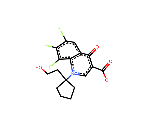 O=C(O)c1cn(C2(CCO)CCCC2)c2c(F)c(F)c(F)cc2c1=O